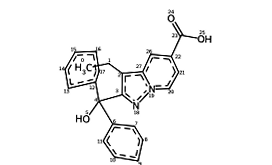 CCc1c(C(O)(c2ccccc2)c2ccccc2)nn2ccc(C(=O)O)cc12